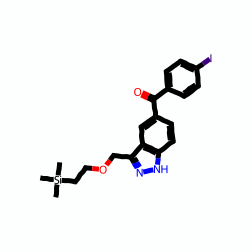 C[Si](C)(C)CCOCc1n[nH]c2ccc(C(=O)c3ccc(I)cc3)cc12